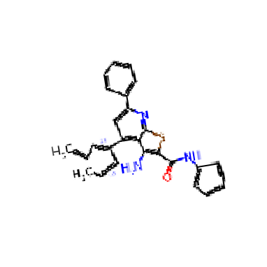 C=C/C=C(\C=C/C)c1cc(-c2ccccc2)nc2sc(C(=O)Nc3ccccc3)c(N)c12